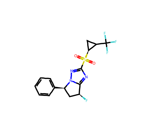 O=S(=O)(c1nc2n(n1)[C@H](c1ccccc1)C[C@@H]2F)[C@H]1CC1C(F)(F)F